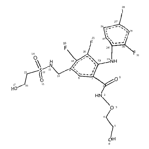 O=C(NOCCO)c1cc(CNS(=O)(=O)CCO)c(F)c(F)c1Nc1ccc(I)cc1F